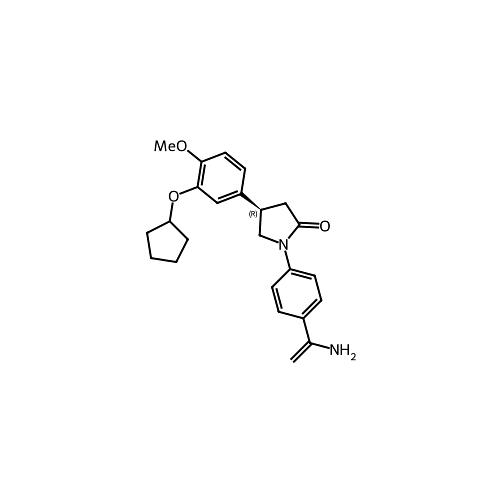 C=C(N)c1ccc(N2C[C@@H](c3ccc(OC)c(OC4CCCC4)c3)CC2=O)cc1